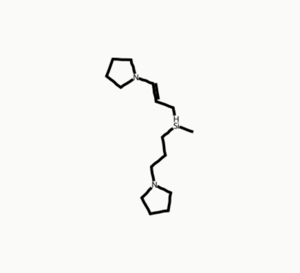 C[SiH](CC=CN1CCCC1)CCCN1CCCC1